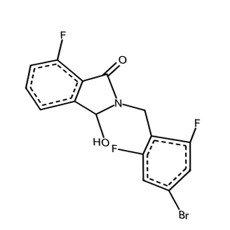 O=C1c2c(F)cccc2C(O)N1Cc1c(F)cc(Br)cc1F